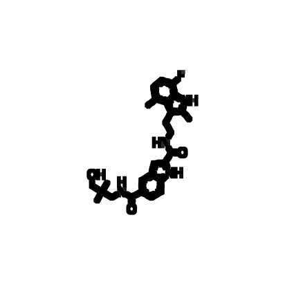 Cc1[nH]c2c(F)ccc(C)c2c1CCNC(=O)c1cc2cc(C(=O)NCC(C)(C)CO)ccc2[nH]1